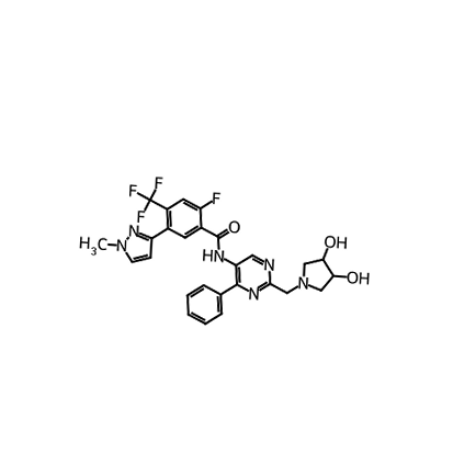 Cn1ccc(-c2cc(C(=O)Nc3cnc(CN4CC(O)C(O)C4)nc3-c3ccccc3)c(F)cc2C(F)(F)F)n1